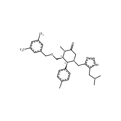 CN(C)Cc1[nH]nnc1CN1CC(=O)N(C)[C@H](COCc2cc(C(F)(F)F)cc(C(F)(F)F)c2)[C@@H]1c1ccc(F)cc1